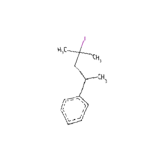 CC(CC(C)(C)I)c1ccccc1